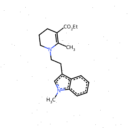 CCOC(=O)C1=C(C)N(CCc2cn(C)c3ccccc23)CCC1